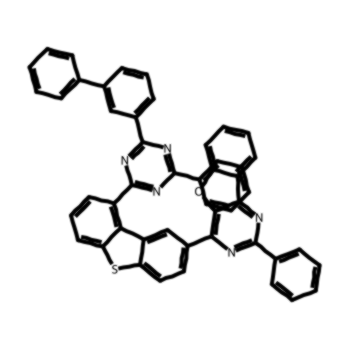 c1ccc(-c2cccc(-c3nc(-c4ccccc4)nc(-c4cccc5sc6ccc(-c7nc(-c8ccccc8)nc8c7oc7ccccc78)cc6c45)n3)c2)cc1